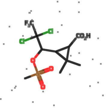 CC1(C)C(C(=O)O)C1C(OS(C)(=O)=O)C(Cl)(Cl)C(F)(F)F